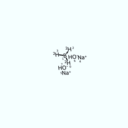 [2H]B([2H])[2H].[Na+].[Na+].[OH-].[OH-]